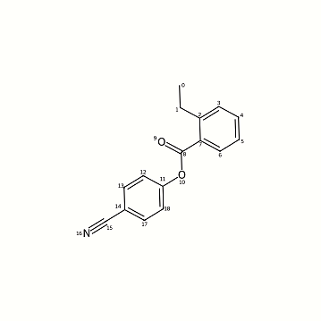 CCc1ccccc1C(=O)Oc1ccc(C#N)cc1